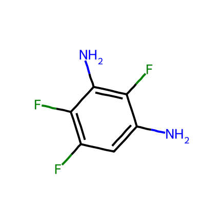 Nc1cc(F)c(F)c(N)c1F